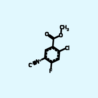 [C-]#[N+]c1cc(C(=O)OC)c(Cl)cc1F